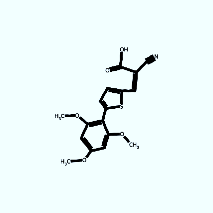 COc1cc(OC)c(-c2ccc(/C=C(/C#N)C(=O)O)s2)c(OC)c1